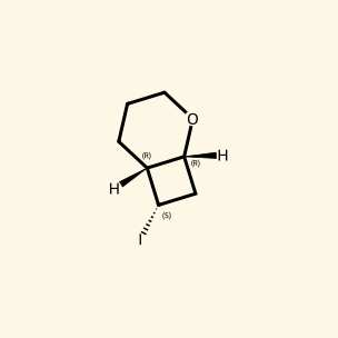 I[C@H]1C[C@H]2OCCC[C@@H]12